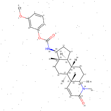 CCOc1cccc(OC(=O)N[C@H]2CC[C@H]3[C@@H]4CC[C@H]5N(C)C(=O)C=C[C@]5(C)[C@H]4CC[C@]23C)c1